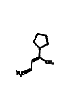 C=C/C=C(\C)N1CCCC1